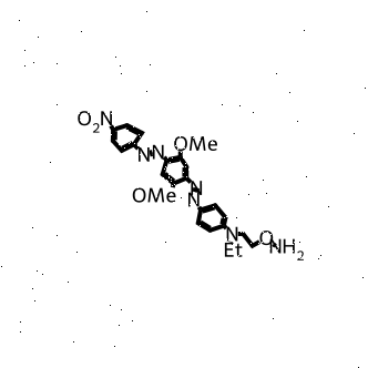 CCN(CCON)c1ccc(/N=N/c2cc(OC)c(/N=N/c3ccc([N+](=O)[O-])cc3)cc2OC)cc1